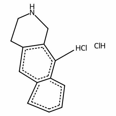 Cc1c2c(cc3ccccc13)CCNC2.Cl.Cl